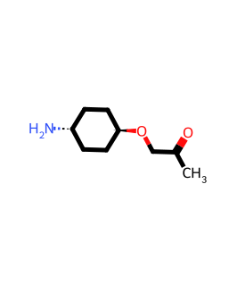 CC(=O)CO[C@H]1CC[C@H](N)CC1